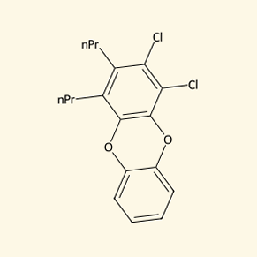 CCCc1c(Cl)c(Cl)c2c(c1CCC)Oc1ccccc1O2